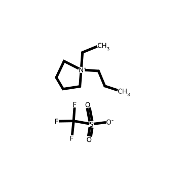 CCC[N+]1(CC)CCCC1.O=S(=O)([O-])C(F)(F)F